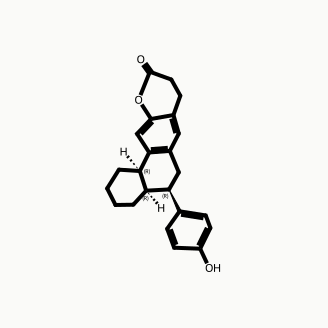 O=C1CCc2cc3c(cc2O1)[C@@H]1CCCC[C@@H]1[C@H](c1ccc(O)cc1)C3